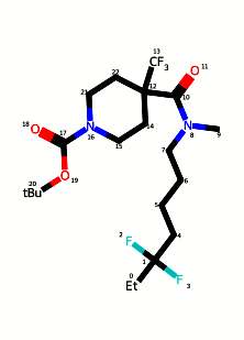 CCC(F)(F)CCCCN(C)C(=O)C1(C(F)(F)F)CCN(C(=O)OC(C)(C)C)CC1